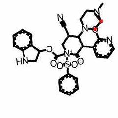 CCOc1ncccc1C1C(=O)[N+](C(=O)OC2CNc3ccccc32)(S(=O)(=O)c2ccccc2)CC(C#N)C1N1CCN(C)CC1